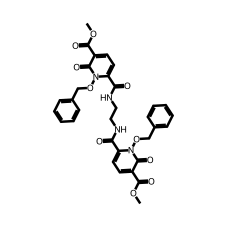 COC(=O)c1ccc(C(=O)NCCNC(=O)c2ccc(C(=O)OC)c(=O)n2OCc2ccccc2)n(OCc2ccccc2)c1=O